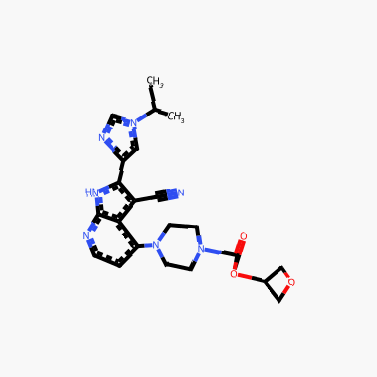 CC(C)n1cnc(-c2[nH]c3nccc(N4CCN(C(=O)OC5COC5)CC4)c3c2C#N)c1